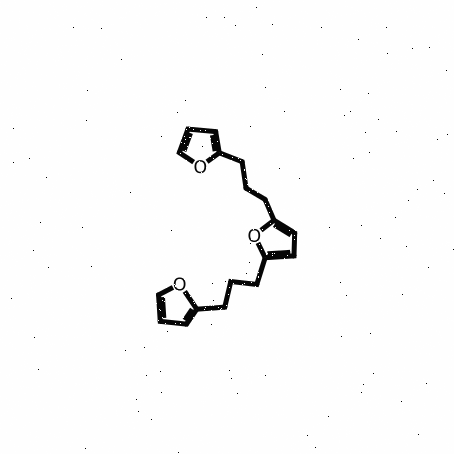 c1coc(CCCc2ccc(CCCc3ccco3)o2)c1